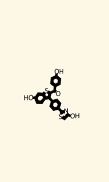 O=C(c1ccc(O)cc1)c1sc2cc(O)ccc2c1-c1ccc(-c2nc(O)cs2)cc1